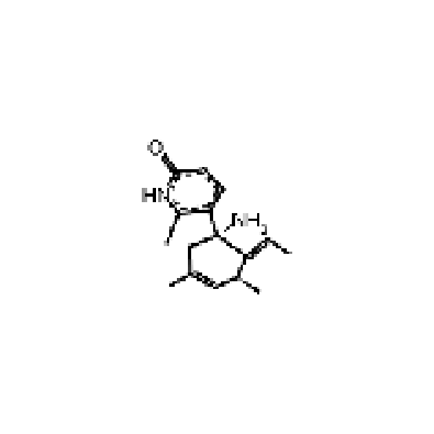 C/C=C1\[C@@H](C)C=C(C)C[C@@]1(N)c1ccc(=O)[nH]c1C